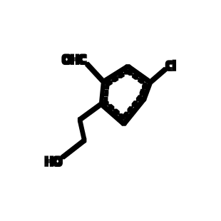 O=Cc1cc(Cl)ccc1CCO